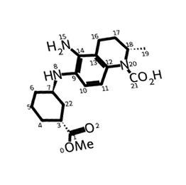 COC(=O)[C@@H]1CCC[C@@H](Nc2ccc3c(c2N)CC[C@H](C)N3C(=O)O)C1